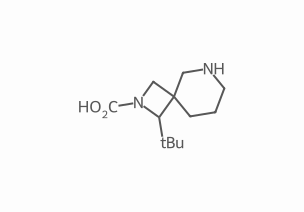 CC(C)(C)C1N(C(=O)O)CC12CCCNC2